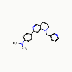 CN(C)c1ccc(-c2cc3c(cn2)C=CCN3Cc2cccnc2)cc1